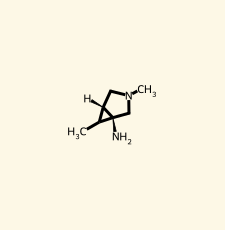 CC1[C@@H]2CN(C)C[C@]12N